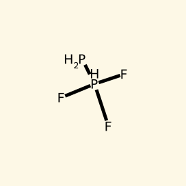 F[PH](F)(F)P